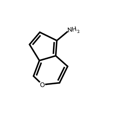 Nc1ccc2coccc1-2